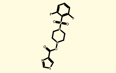 O=C(ON1CCN(S(=O)(=O)c2c(F)cccc2F)CC1)c1cscn1